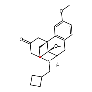 COc1ccc2c(c1)[C@]13CCN(CC4CCC4)[C@H](C2)[C@]1(OC)CCC(=O)C3